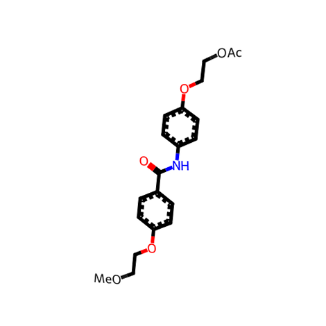 COCCOc1ccc(C(=O)Nc2ccc(OCCOC(C)=O)cc2)cc1